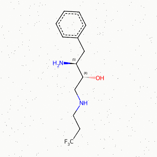 N[C@@H](Cc1ccccc1)[C@H](O)CNCCC(F)(F)F